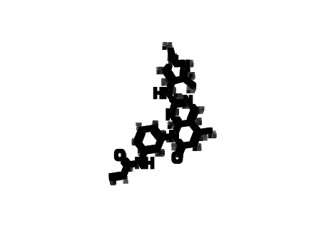 C=CC(=O)Nc1cccc(-n2c(=O)cc(C)c3cnc(Nc4cn(C)nc4C)nc32)c1